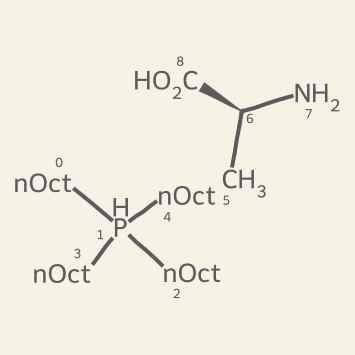 CCCCCCCC[PH](CCCCCCCC)(CCCCCCCC)CCCCCCCC.C[C@H](N)C(=O)O